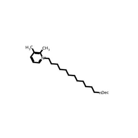 CCCCCCCCCCCCCCCCCCCCCC[n+]1cccc(C)c1C